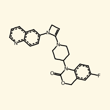 O=C1OCc2cc(F)ccc2N1C1CCN(C2=CCN2c2ccc3ncccc3c2)CC1